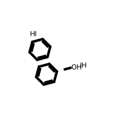 CO.I.I.c1ccccc1.c1ccccc1